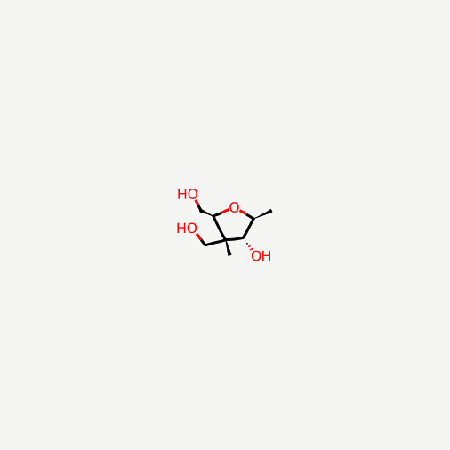 C[C@@H]1O[C@H](CO)[C@@](C)(CO)[C@H]1O